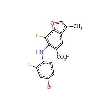 Cc1coc2c(F)c(Nc3ccc(Br)cc3F)c(C(=O)O)cc12